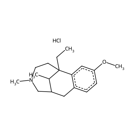 CCC12CCN(C)CC(Cc3ccc(OC)cc31)C2C.Cl